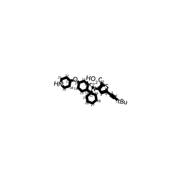 CC(=O)N(c1cc(C#CC(C)(C)C)sc1C(=O)O)C1(C2CCC(OC3CCNCC3)CC2)CCCCC1